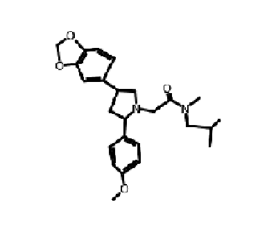 COc1ccc(C2CC(c3ccc4c(c3)OCO4)CN2CC(=O)N(C)CC(C)C)cc1